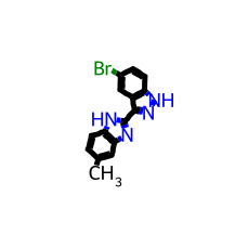 Cc1ccc2[nH]c(-c3n[nH]c4ccc(Br)cc34)nc2c1